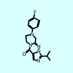 CC(C)c1ncc2c(=O)n3c(nn12)CN(c1ccc(F)cc1)CC3